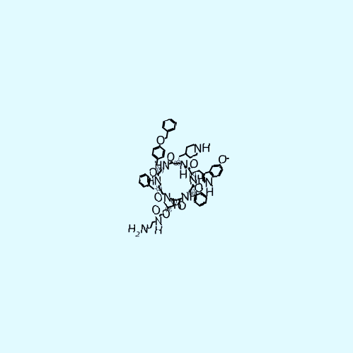 COc1ccc2[nH]cc(C[C@H]3NC(=O)[C@H](c4ccccc4)NC(=O)[C@@H]4C[C@@H](OC(=O)NCCN)CN4C(=O)[C@H](Cc4ccccc4)NC(=O)[C@H](Cc4ccc(OCc5ccccc5)cc4)NC(=O)[C@H](CC4CCNCC4)NC3=O)c2c1